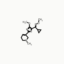 CON=C(c1sc(C2=CCCN(C)C2)nc1OC)C1CC1